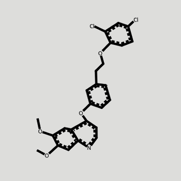 COc1cc2nccc(Oc3cc[c]c(CCOc4ccc(Cl)cc4Cl)c3)c2cc1OC